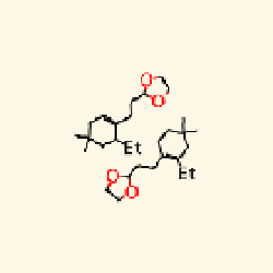 CCC1=C(CCC2OCCO2)CCC(C)(C)C1.CCC1CC(C)(C)CC=C1CCC1OCCO1